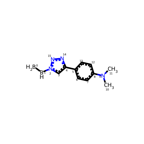 BBn1cc(-c2ccc(N(C)C)cc2)nn1